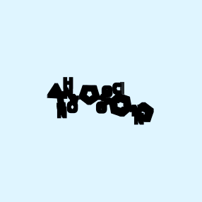 N#CC1(NC(=O)[C@@H]2CC[C@H](S(=O)(=O)c3ccc(-n4cccn4)cc3Cl)C2)CC1